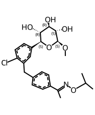 CO[C@H]1O[C@@H](c2ccc(Cl)c(Cc3ccc(C(C)=NOC(C)C)cc3)c2)[C@H](O)[C@@H](O)[C@@H]1O